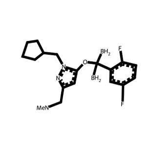 BC(B)(Oc1cc(CNC)nn1CC1CCCC1)c1cc(F)ccc1F